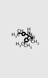 COC(=O)c1n[nH]c(-c2ccc(C(C)C)cc2)c1-c1ccc(C(C)C)cc1